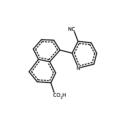 N#Cc1cccnc1-c1cccc2ccc(C(=O)O)cc12